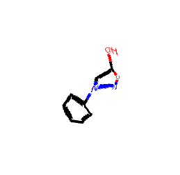 Oc1c[n+](-c2ccccc2)no1